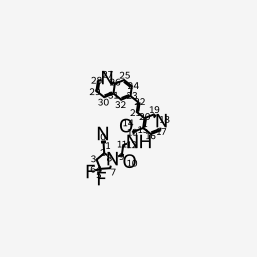 N#CC1CC(F)(F)CN1C(=O)CNC(=O)c1ccncc1C=Cc1ccc2ncccc2c1